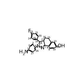 Nc1ccc(N2N=C3c4ccc(O)cc4CCC3C2c2ccc(F)cc2)cc1